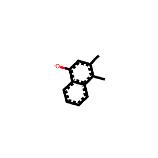 Cc1cc([O])c2ccccc2c1C